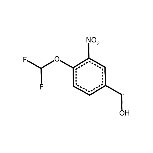 O=[N+]([O-])c1cc([CH]O)ccc1OC(F)F